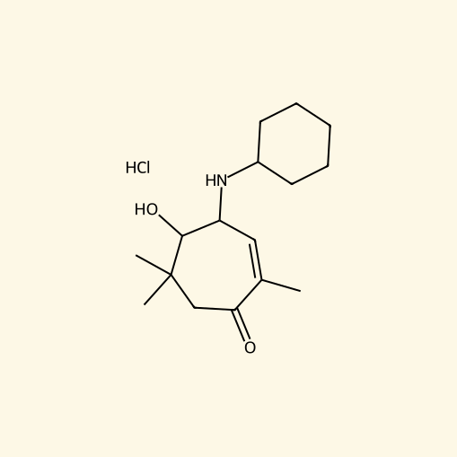 CC1=CC(NC2CCCCC2)C(O)C(C)(C)CC1=O.Cl